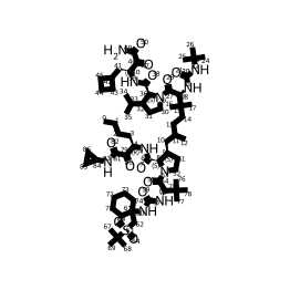 CCCC[C@@H](NC(=O)[C@@H]1[C@@H](CC(C)CCC(C)(C)[C@H](NC(=O)NC(C)(C)C)C(=O)N2CCC(C(C)C)[C@H]2C(=O)N[C@H](CC2CCC2)C(=O)C(N)=O)CCN1C(=O)[C@@H](NC(=O)NC1(CS(=O)(=O)C(C)(C)C)CCCCC1)C(C)(C)C)C(=O)C(=O)NC1CC1